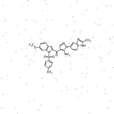 Cc1ccc(S(=O)(=O)n2c(C(=O)c3cnn(-c4ccc5[nH]c(C)nc5c4)c3N)cc3ccc(OC(F)(F)F)cc32)cc1